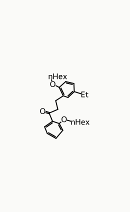 CCCCCCOc1ccc(CC)cc1CCC(=O)c1ccccc1OCCCCCC